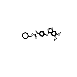 COc1cc2ncnc(Oc3ccc(N(C)C(=O)OCC4CCCCCC4)cc3)c2cc1OC